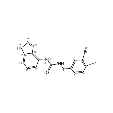 O=C(NCc1ccc(F)c(Br)c1)Nc1cccc2[nH]ncc12